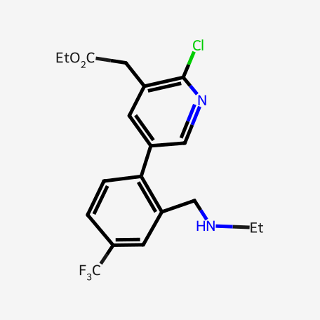 CCNCc1cc(C(F)(F)F)ccc1-c1cnc(Cl)c(CC(=O)OCC)c1